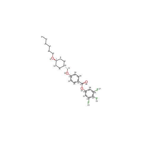 CCCCCCO[C@H]1CC[C@H](COc2ccc(C(=O)Oc3cc(F)c(F)c(F)c3)cc2)CC1